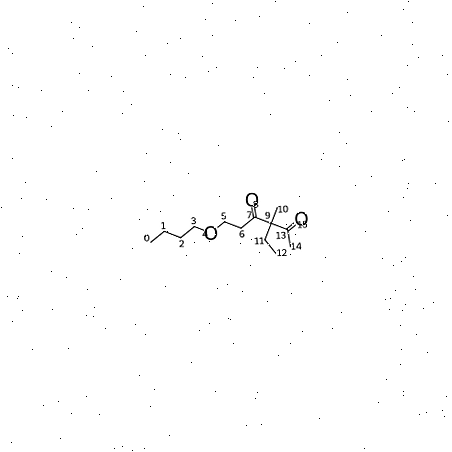 CCCCOCCC(=O)C(C)(CC)C(C)=O